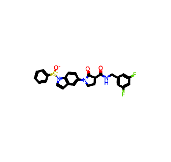 O=C(NCc1cc(F)cc(F)c1)C1CCN(c2ccc3c(ccn3[S+]([O-])c3ccccc3)c2)C1=O